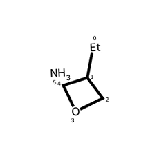 CCC1COC1.N